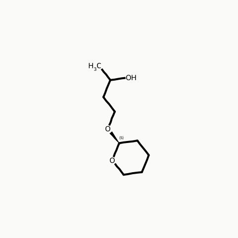 CC(O)CCO[C@H]1CCCCO1